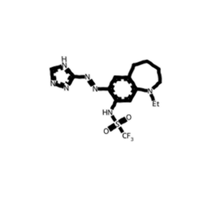 CCN1CCCCc2cc(N=Nc3nnc[nH]3)c(NS(=O)(=O)C(F)(F)F)cc21